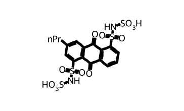 CCCc1cc2c(c(S(=O)(=O)NS(=O)(=O)O)c1)C(=O)c1cccc(S(=O)(=O)NS(=O)(=O)O)c1C2=O